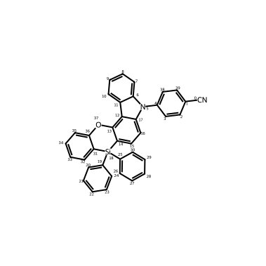 N#Cc1ccc(-n2c3ccccc3c3c4c(ccc32)[Si](c2ccccc2)(c2ccccc2)c2ccccc2O4)cc1